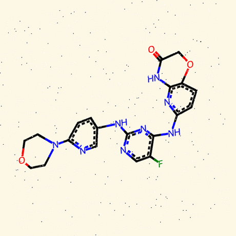 O=C1COc2ccc(Nc3nc(Nc4ccc(N5CCOCC5)nc4)ncc3F)nc2N1